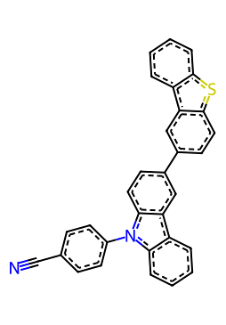 N#Cc1ccc(-n2c3ccccc3c3cc(-c4ccc5sc6ccccc6c5c4)ccc32)cc1